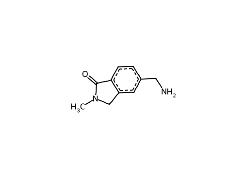 CN1Cc2cc(CN)ccc2C1=O